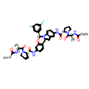 COC(=O)N[C@H](C(=O)N1CCC[C@H]1C(=O)Nc1ccc2c(c1)O[C@@H](c1cc(F)cc(F)c1)n1c-2cc2cc(NC(=O)[C@@H]3CCCN3C(=O)[C@@H](NC(=O)OC)C(C)C)ccc21)C(C)C